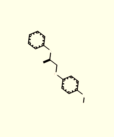 CCOc1ccc(NCC(=O)Nc2ccccc2)cc1